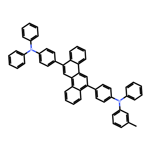 Cc1cccc(N(c2ccccc2)c2ccc(-c3cc4c5ccccc5c(-c5ccc(N(c6ccccc6)c6ccccc6)cc5)cc4c4ccccc34)cc2)c1